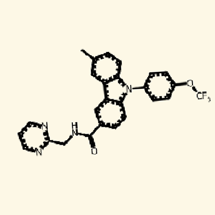 Cc1ccc2c(c1)c1cc(C(=O)NCc3ncccn3)ccc1n2-c1ccc(OC(F)(F)F)cc1